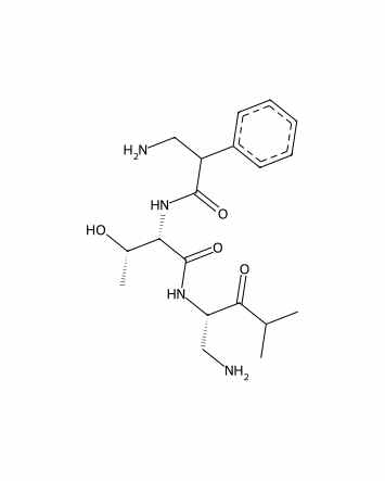 CC(C)C(=O)[C@H](CN)NC(=O)[C@@H](NC(=O)C(CN)c1ccccc1)[C@H](C)O